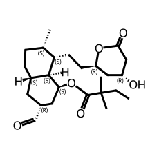 CCC(C)(C)C(=O)O[C@H]1C[C@H](C=O)C[C@@H]2CC[C@H](C)[C@H](CC[C@@H]3C[C@@H](O)CC(=O)O3)[C@H]21